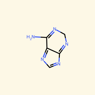 NC1=NCN=C2N=CN=C12